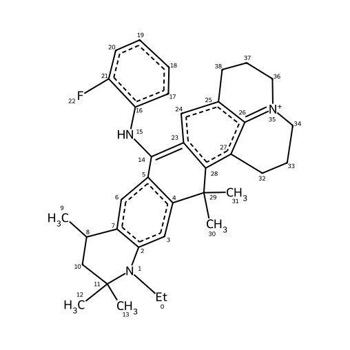 CCN1c2cc3c(cc2C(C)CC1(C)C)C(Nc1ccccc1F)=c1cc2c4c(c1C3(C)C)CCC[N+]=4CCC2